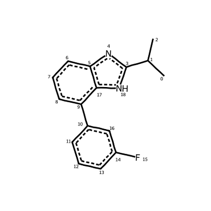 CC(C)c1nc2cccc(-c3cccc(F)c3)c2[nH]1